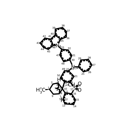 C[C@H]1C[C@@H]2C[C@@H](C)C[C@H](C1)C21c2ccccc2S(=O)(=O)c2cc(N(c3ccccc3)c3ccc(-n4c5ccccc5c5ccccc54)cc3)ccc21